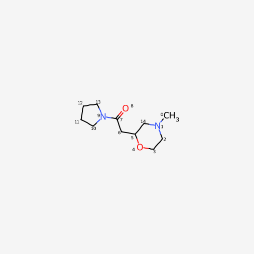 CN1CCOC(CC(=O)N2CCCC2)C1